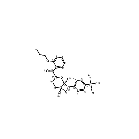 CCCOc1cccnc1C(=O)N1CC[C@H]2CN(c3ncc(C(F)(F)F)cn3)[C@H]2C1